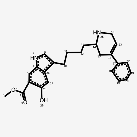 COC(=O)c1cc2[nH]cc(CCCCC3CC(c4ccccc4)=CCN3)c2cc1O